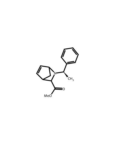 COC(=O)C1C2C=CC(C2)N1[C@H](C)c1ccccc1